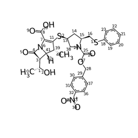 C[C@@H](O)[C@H]1C(=O)N2C(C(=O)O)=C(S[C@H]3C[C@@H](CSc4ccccc4)N(C(=O)OCc4ccc([N+](=O)[O-])cc4)C3)[C@H](C)[C@H]12